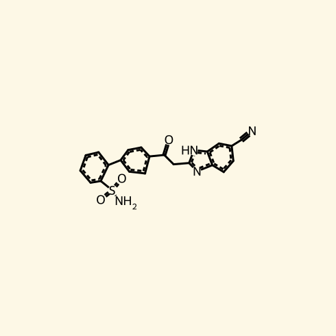 N#Cc1ccc2nc(CC(=O)c3ccc(-c4ccccc4S(N)(=O)=O)cc3)[nH]c2c1